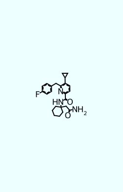 NC(=O)CC1(NC(=O)c2ccc(C3CC3)c(Cc3ccc(F)cc3)n2)CCCCC1